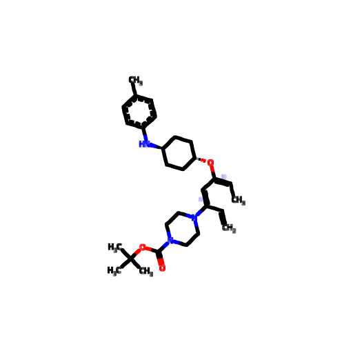 C=C/C(=C\C(=C/C)O[C@H]1CC[C@H](Nc2ccc(C)cc2)CC1)N1CCN(C(=O)OC(C)(C)C)CC1